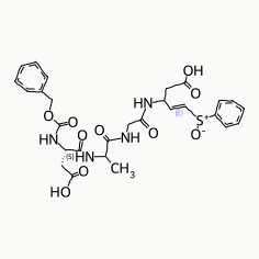 CC(NC(=O)[C@H](CC(=O)O)NC(=O)OCc1ccccc1)C(=O)NCC(=O)NC(/C=C/[S+]([O-])c1ccccc1)CC(=O)O